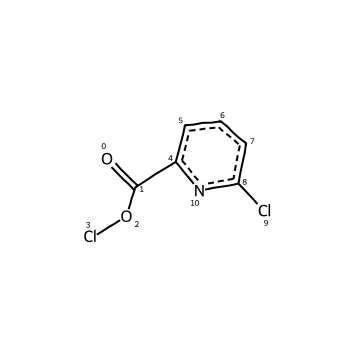 O=C(OCl)c1cccc(Cl)n1